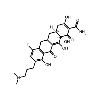 CN(C)CCCc1cc(F)c2c(c1O)C(=O)C1=C(O)[C@]3(O)C(=O)C(C(N)=O)=C(O)C[C@@H]3CC1C2